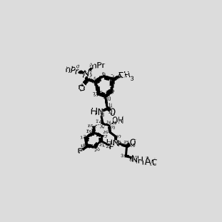 CCCN(CCC)C(=O)c1cc(C)cc(C(=O)N[C@@H](Cc2cc(F)cc(F)c2)[C@H](O)CCNC(=O)CNC(C)=O)c1